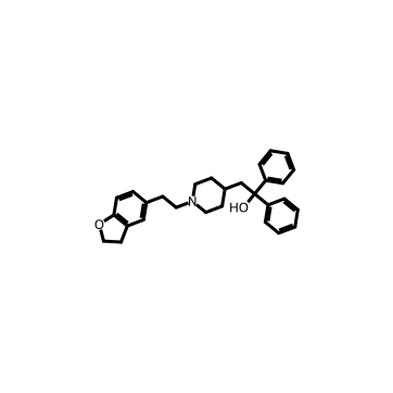 OC(CC1CCN(CCc2ccc3c(c2)CCO3)CC1)(c1ccccc1)c1ccccc1